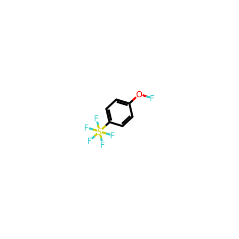 FOc1ccc(S(F)(F)(F)(F)F)cc1